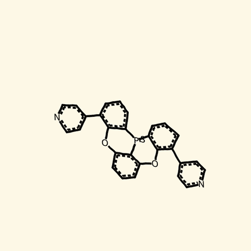 S=P12c3cccc(-c4ccncc4)c3Oc3cccc(c31)Oc1c(-c3ccncc3)cccc12